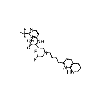 O=C(O)C(CCN(CCCCc1ccc2c(n1)NCCC2)CC(F)F)Nc1ccnc(C(F)(F)F)n1